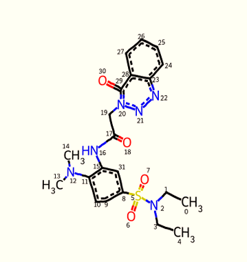 CCN(CC)S(=O)(=O)c1ccc(N(C)C)c(NC(=O)Cn2nnc3ccccc3c2=O)c1